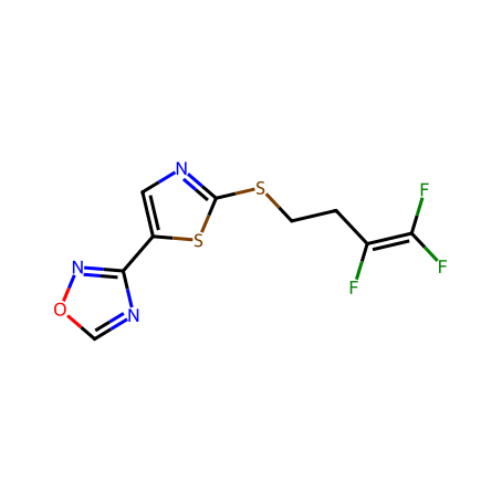 FC(F)=C(F)CCSc1ncc(-c2ncon2)s1